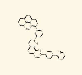 c1ccc(-c2ccc(-c3ccc4ccc5ccc(-c6cccc(-c7ccc8ccc9cccc%10ccc7c8c9%10)c6)nc5c4n3)cc2)nc1